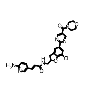 Nc1ccc(C=CC(=O)NCC2Cc3cc(-c4ncc(C(=O)N5CCOCC5)cn4)cc(Cl)c3O2)cn1